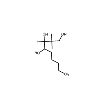 CC(C)(CO)C(C)(O)C(O)CCCCO